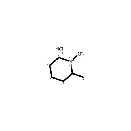 CC1CCCC[NH+]1[O-].Cl